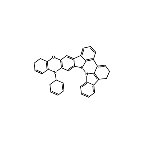 C1=CCC(N2C3=C(CCC=C3)Oc3cc4c(cc32)B2c3c(cccc3-4)C3=CCCc4c3n2c2ccccc42)C=C1